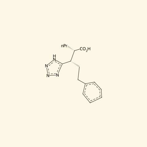 CCC[C@H](C(=O)O)[C@H](CCc1ccccc1)c1nnn[nH]1